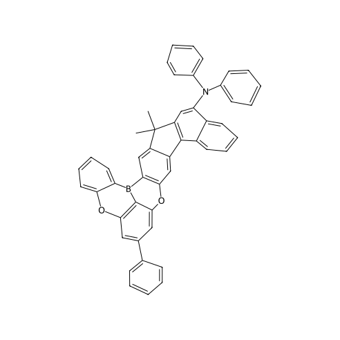 CC1(C)c2cc3c(cc2-c2c1cc(N(c1ccccc1)c1ccccc1)c1ccccc21)Oc1cc(-c2ccccc2)cc2c1B3c1ccccc1O2